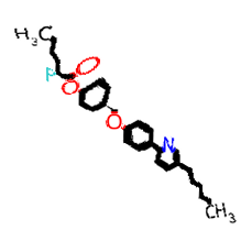 CCCCCCc1ccc(-c2ccc(OC[C@H]3CC[C@H](OC(=O)[C@@H](F)CCCC)CC3)cc2)nc1